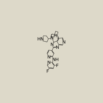 CN(c1nc(-c2ccnc(Nc3ncc(F)cc3F)c2)nc2cncc(C3CCC3)c12)C1CCNCC1